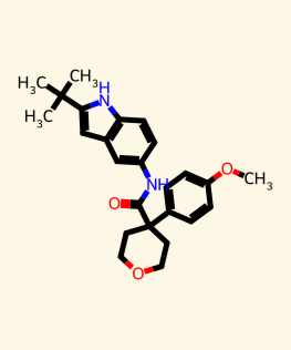 COc1ccc(C2(C(=O)Nc3ccc4[nH]c(C(C)(C)C)cc4c3)CCOCC2)cc1